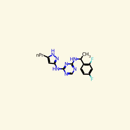 CCCc1cc(Nc2ncnc(NC(C)c3ccc(F)cc3F)n2)n[nH]1